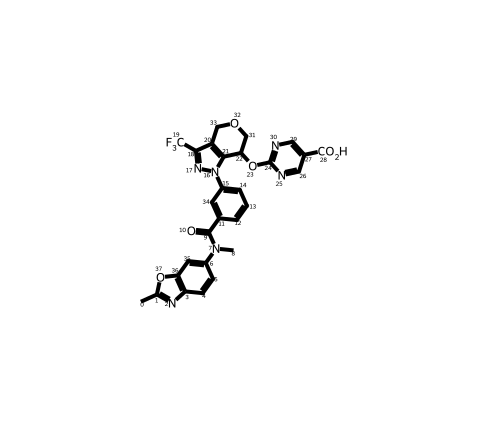 Cc1nc2ccc(N(C)C(=O)c3cccc(-n4nc(C(F)(F)F)c5c4C(Oc4ncc(C(=O)O)cn4)COC5)c3)cc2o1